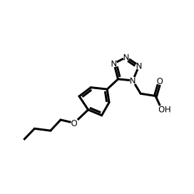 CCCCOc1ccc(-c2nnnn2CC(=O)O)cc1